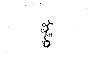 CC(C)C(=O)CC(=O)NCc1ccccn1